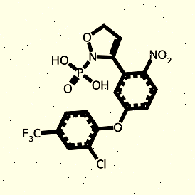 O=[N+]([O-])c1ccc(Oc2ccc(C(F)(F)F)cc2Cl)cc1C1=CCON1P(=O)(O)O